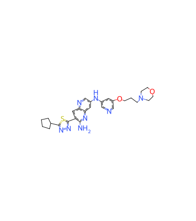 Nc1nc2cc(Nc3cncc(OCCCN4CCOCC4)c3)cnc2cc1-c1nnc(C2CCCC2)s1